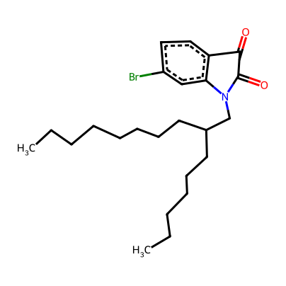 CCCCCCCCC(CCCCCC)CN1C(=O)C(=O)c2ccc(Br)cc21